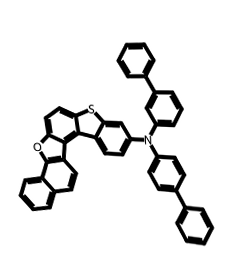 c1ccc(-c2ccc(N(c3cccc(-c4ccccc4)c3)c3ccc4c(c3)sc3ccc5oc6c7ccccc7ccc6c5c34)cc2)cc1